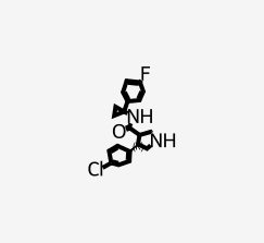 O=C(NC1(c2ccc(F)cc2)CC1)C1CNC[C@H]1c1ccc(Cl)cc1